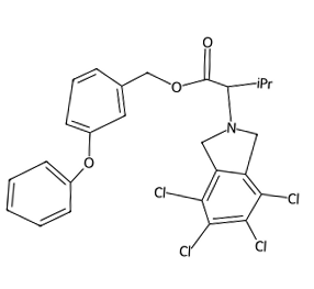 CC(C)C(C(=O)OCc1cccc(Oc2ccccc2)c1)N1Cc2c(Cl)c(Cl)c(Cl)c(Cl)c2C1